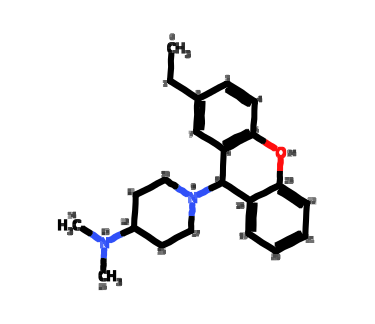 CCc1ccc2c(c1)C(N1CCC(N(C)C)CC1)c1ccccc1O2